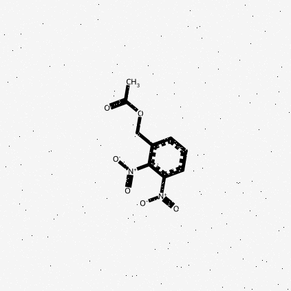 CC(=O)OCc1cccc([N+](=O)[O-])c1[N+](=O)[O-]